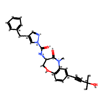 CN1C(=O)[C@H](NC(=O)n2cc(Cc3ccccc3)cn2)COc2ccc(C#CC(C)(C)O)cc21